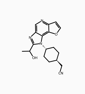 CC(O)c1nc2cnc3ccoc3c2n1[C@H]1CC[C@H](CC#N)CC1